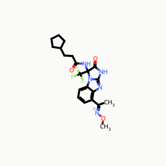 CO/N=C(\C)c1cccc2c1nc1n2C(NC(=O)CCC2CCCC2)(C(F)(F)F)C(=O)N1